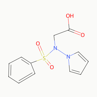 O=C(O)CN(n1cccc1)S(=O)(=O)c1ccccc1